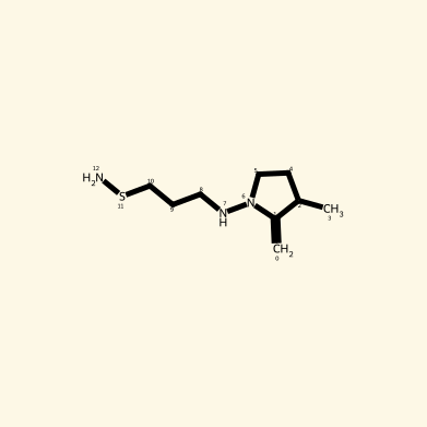 C=C1C(C)CCN1NCCCSN